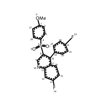 COc1ccc(S(=O)(=O)c2cnc3cc(F)ccc3c2-c2ccc(F)cc2)cc1